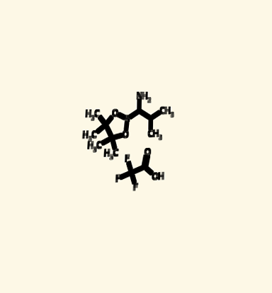 CC(C)C(N)B1OC(C)(C)C(C)(C)O1.O=C(O)C(F)(F)F